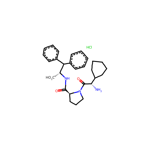 Cl.N[C@H](C(=O)N1CCC[C@H]1C(=O)N[C@H](C(=O)O)C(c1ccccc1)c1ccccc1)C1CCCCC1